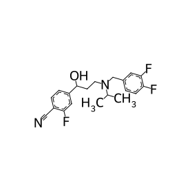 CC(C)N(CCC(O)c1ccc(C#N)c(F)c1)Cc1ccc(F)c(F)c1